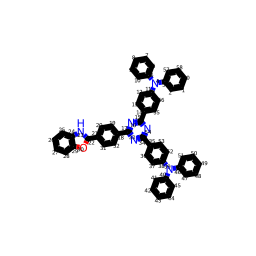 c1ccc(N(c2ccccc2)c2ccc(-c3nc(-c4ccc(C5Nc6ccccc6O5)cc4)nc(-c4ccc(N(c5ccccc5)c5ccccc5)cc4)n3)cc2)cc1